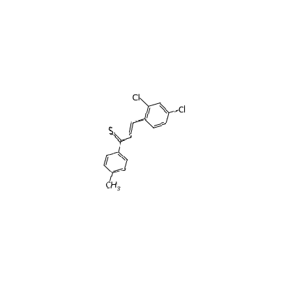 Cc1ccc(C(=S)C=Cc2ccc(Cl)cc2Cl)cc1